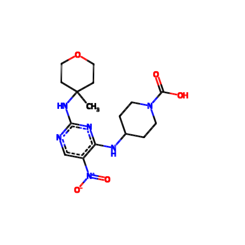 CC1(Nc2ncc([N+](=O)[O-])c(NC3CCN(C(=O)O)CC3)n2)CCOCC1